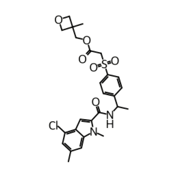 Cc1cc(Cl)c2cc(C(=O)NC(C)c3ccc(S(=O)(=O)CC(=O)OCC4(C)COC4)cc3)n(C)c2c1